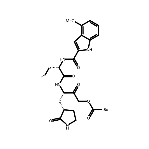 COc1cccc2[nH]c(C(=O)N[C@@H](CC(C)C)C(=O)N[C@@H](C[C@@H]3CCNC3=O)C(=O)COC(=O)C(C)(C)C)cc12